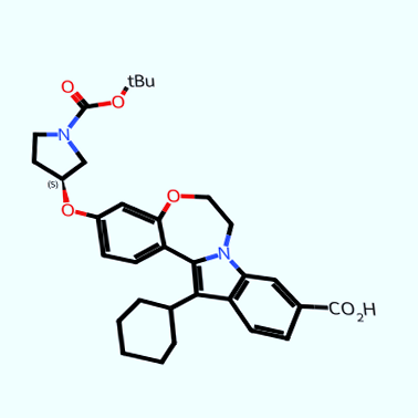 CC(C)(C)OC(=O)N1CC[C@H](Oc2ccc3c(c2)OCCn2c-3c(C3CCCCC3)c3ccc(C(=O)O)cc32)C1